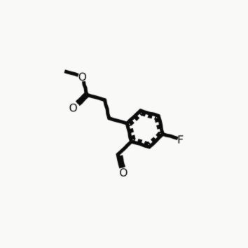 COC(=O)CCc1ccc(F)cc1C=O